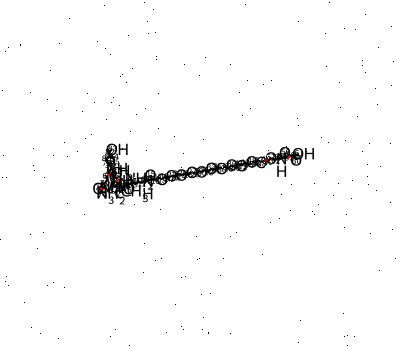 CC(C)[C@H](NC(=O)[C@@H](N)CCCCNC(=O)CCOCCOCCOCCOCCOCCOCCOCCOCCOCCOCCOCCOCCNC(=O)CCC(=O)O)C(=O)NCC(=O)[C@@H](CCCNC(N)=O)CNc1ccc(CO)cc1